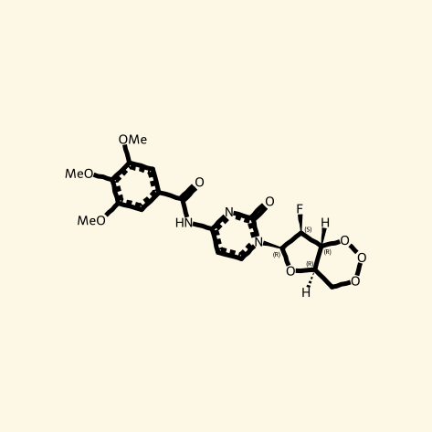 COc1cc(C(=O)Nc2ccn([C@@H]3O[C@@H]4COOO[C@H]4[C@@H]3F)c(=O)n2)cc(OC)c1OC